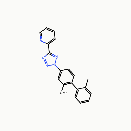 COc1cc(-n2nnc(-c3ccccn3)n2)ccc1-c1ccccc1C